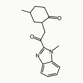 CC1CCC(=O)C(CC(=O)c2nc3ccccc3n2C)C1